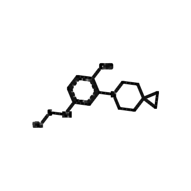 CC(C)(C)SNc1ccc(C=O)c(N2CCC3(CC2)CC3)c1